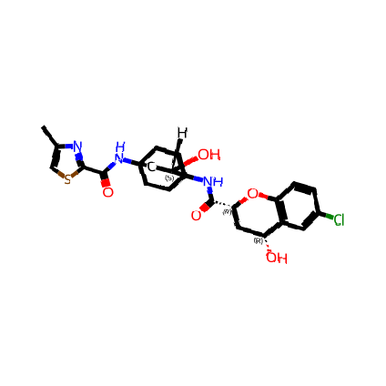 Cc1csc(C(=O)NC23CCC(NC(=O)[C@H]4C[C@@H](O)c5cc(Cl)ccc5O4)(CC2)[C@@H](O)C3)n1